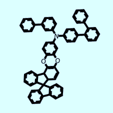 C1=CC2C(C3=C1Oc1cc(N(c4ccc(-c5ccccc5-c5ccccc5)cc4)c4cccc(-c5ccccc5)c4)ccc1O3)c1ccccc1C21c2ccccc2-c2ccccc21